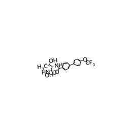 C[C@@H](O)[C@H](NC(=O)c1ccc(-c2ccc(OC(F)(F)F)cc2)cc1)C(=O)NO